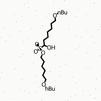 CCCCOCCCCCCOS(=O)(=O)C(O)CCCCCCOCCCC